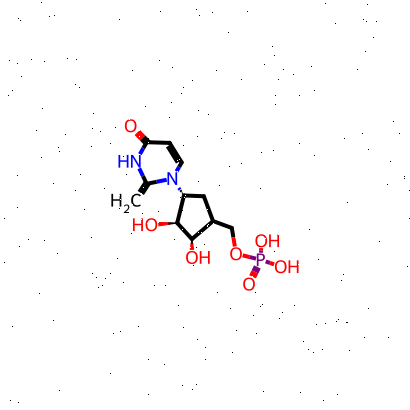 C=C1NC(=O)C=CN1[C@@H]1CC(COP(=O)(O)O)[C@@H](O)[C@H]1O